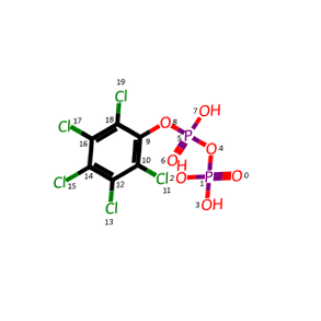 O=P(O)(O)OP(=O)(O)Oc1c(Cl)c(Cl)c(Cl)c(Cl)c1Cl